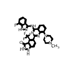 CN1CCN(c2cccc3c(Nc4n[nH]c5c(F)cccc45)nc(-c4ccc5[nH][nH]c(=O)c5c4C(F)(F)F)nc23)CC1